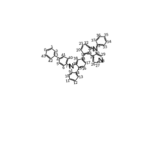 c1ccc(-c2ccc(-n3c4ccccc4c4ccc(-c5cccc6c5c5ccncc5n6-c5ccccc5)cc43)cc2)cc1